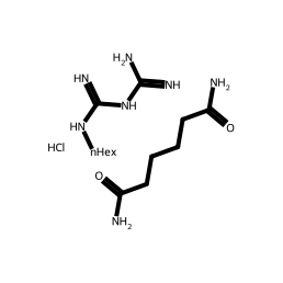 CCCCCCNC(=N)NC(=N)N.Cl.NC(=O)CCCCC(N)=O